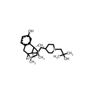 CN1CC[C@]2(C)c3cc(O)ccc3C[C@@H]1[C@@H]2N(C)CC1CCN(CC(C)(C)O)CC1